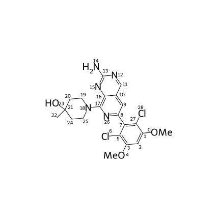 COc1cc(OC)c(Cl)c(-c2cc3cnc(N)nc3c(N3CCC(C)(O)CC3)n2)c1Cl